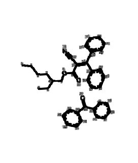 CCCCC(CC)COC(=O)C(C#N)=C(c1ccccc1)c1ccccc1.O=C(c1ccccc1)c1ccccc1